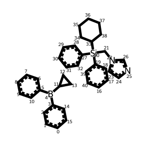 c1ccc(B(c2ccccc2)C2CC2)cc1.c1ccc([Si](Cn2ccnc2)(c2ccccc2)C2CCCCC2)cc1